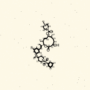 C/C(=C\c1cc(F)cc(N(C)C2CCN(S(=O)(=O)c3ccccc3)CC2)c1)[C@H]1OC(=O)C[C@H](O)CC[C@H](C)[C@@H](OC(=O)N2CCN(C)CC2)/C=C/[C@@H]1C